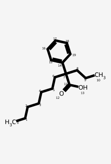 CCCCCCCC(CCC)(C(=O)O)c1ccccc1